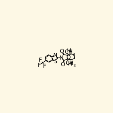 C[C@@]12C(=O)N(c3nc4ccc(C(F)(F)F)cc4s3)C(=O)[C@]1(C)[C@H]1CC[C@@H]2O1